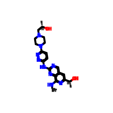 CC(C)Nc1nc([C@@H](C)O)cc2cnc(Nc3ccc(N4CCN(C[C@H](C)O)CC4)nn3)nc12